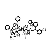 CCNC(=O)[C@H]1O[C@@H](n2cnc3c(NCC(c4cccc(Cl)c4)c4cccc(Cl)c4)nc(I)nc32)[C@H](OC(=O)c2ccccc2)[C@@H]1OC(=O)c1ccccc1